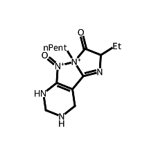 CCCCC[N+]12C(=O)C(CC)N=C1C1=C(NCNC1)[N+]2=O